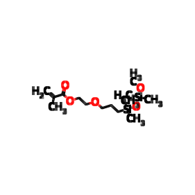 C=C(C)C(=O)OCCOCCC[Si](C)(C)O[Si](C)(C)OC